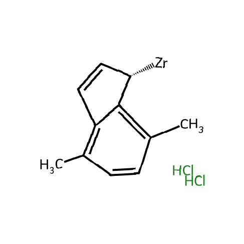 Cc1ccc(C)c2c1C=C[C@@H]2[Zr].Cl.Cl